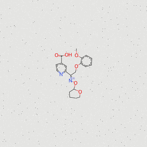 COc1ccccc1OC/C(=N\OC1CCCCO1)c1cc(C(=O)O)ccn1